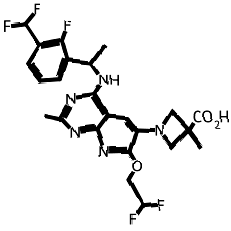 Cc1nc(NC(C)c2cccc(C(F)F)c2F)c2cc(N3CC(C)(C(=O)O)C3)c(OCC(F)F)nc2n1